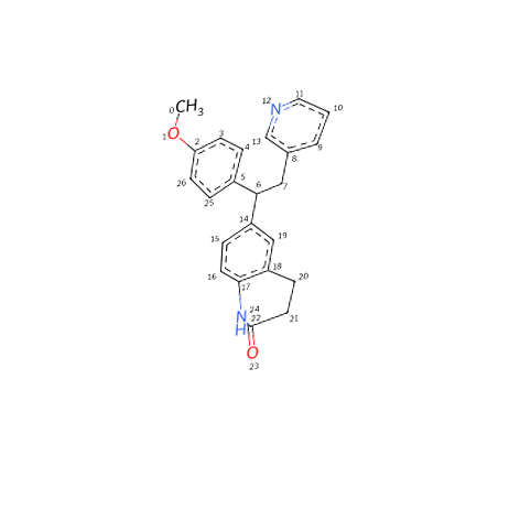 COc1ccc(C(Cc2cccnc2)c2ccc3c(c2)CCC(=O)N3)cc1